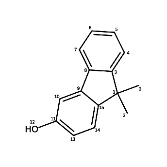 CC1(C)c2ccccc2-c2cc(O)ccc21